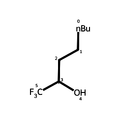 CCCCCC[C](O)C(F)(F)F